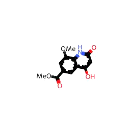 COC(=O)c1cc(OC)c2[nH]c(=O)cc(O)c2c1